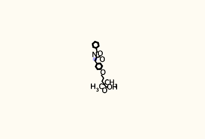 CC(C)(CCCOc1ccc(/C=C2/N=C(c3ccccc3)OC2=O)cc1)C(=O)O